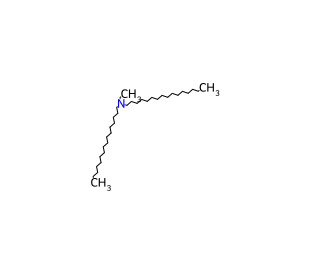 CCCCCCCCCCCCCCCCN(CC)CCCCCCCCCCCCCCCC